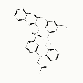 COc1cc(Nc2nc3ccccc3nc2NS(=O)(=O)c2cccc(N(CC(N)=O)c3ccccc3Cl)c2)cc(OC)c1